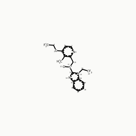 Cc1c(OCC(F)(F)F)ccnc1C[S+]([O-])c1nc2ccccc2n1CC(F)(F)F